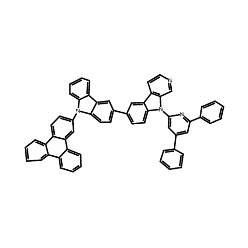 c1ccc(-c2cc(-c3ccccc3)nc(-n3c4ccc(-c5ccc6c(c5)c5ccccc5n6-c5ccc6c7ccccc7c7ccccc7c6c5)cc4c4ccncc43)c2)cc1